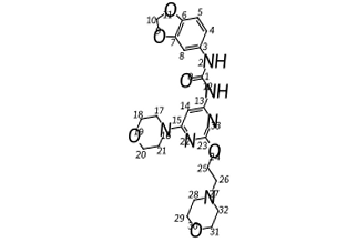 O=C(Nc1ccc2c(c1)OCO2)Nc1cc(N2CCOCC2)nc(OCCN2CCOCC2)n1